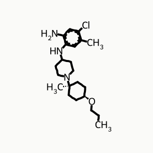 CCCO[C@H]1CC[C@@](C)(N2CCC(Nc3cc(C)c(Cl)cc3N)CC2)CC1